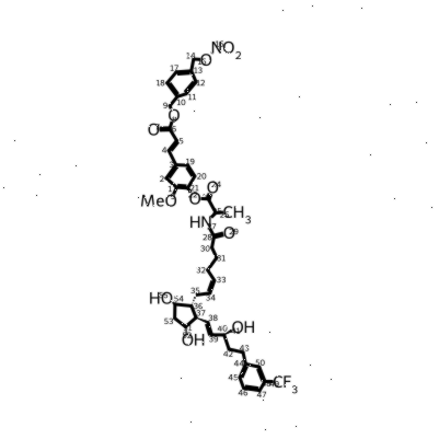 COc1cc(/C=C/C(=O)OCc2ccc(CO[N+](=O)[O-])cc2)ccc1OC(=O)C(C)NC(=O)CCC/C=C\C[C@@H]1[C@@H](/C=C/[C@@H](O)CCc2cccc(C(F)(F)F)c2)[C@H](O)C[C@@H]1O